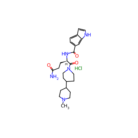 CN1CCC(C2CCN(C(=O)[C@@H](CCC(N)=O)NC(=O)c3ccc4cc[nH]c4c3)CC2)CC1.Cl